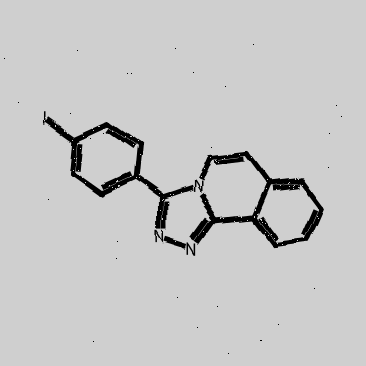 Ic1ccc(-c2nnc3c4ccccc4ccn23)cc1